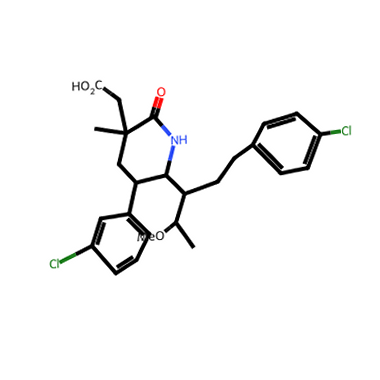 COC(C)C(CCc1ccc(Cl)cc1)C1NC(=O)C(C)(CC(=O)O)CC1c1cccc(Cl)c1